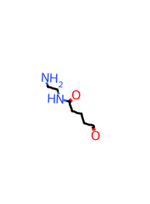 NCCNC(=O)CCCC=O